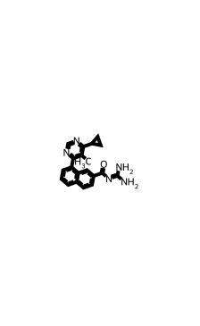 Cc1c(-c2cccc3ccc(C(=O)N=C(N)N)cc23)ncnc1C1CC1